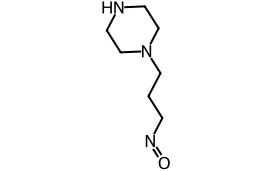 O=NCCCN1CCNCC1